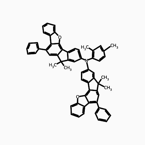 Cc1ccc(N(c2ccc3c(c2)C(C)(C)c2cc(-c4ccccc4)c4c(oc5ccccc54)c2-3)c2ccc3c(c2)C(C)(C)c2cc(-c4ccccc4)c4c(oc5ccccc54)c2-3)c(C)c1